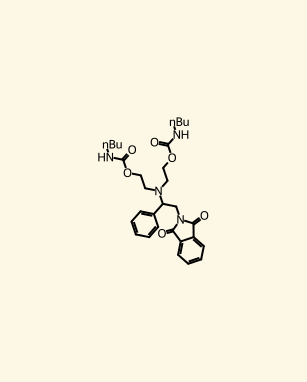 CCCCNC(=O)OCCN(CCOC(=O)NCCCC)C(CN1C(=O)c2ccccc2C1=O)c1ccccc1